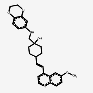 COc1ccc2nccc(/C=C/C3CCC(O)(CNc4ccc5c(c4)OCCO5)CC3)c2c1